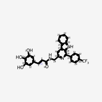 O=C(/C=C/c1cc(O)c(O)c(O)c1)NCc1cc2c([nH]c3ccccc32)c(-c2ccc(C(F)(F)F)cc2)n1